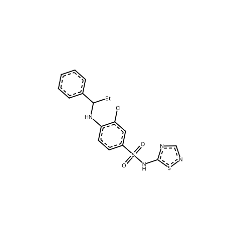 CCC(Nc1ccc(S(=O)(=O)Nc2ncns2)cc1Cl)c1ccccc1